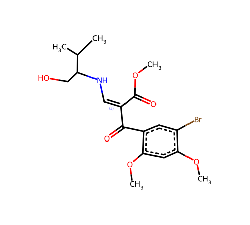 COC(=O)/C(=C\NC(CO)C(C)C)C(=O)c1cc(Br)c(OC)cc1OC